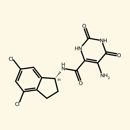 Nc1c(C(=O)N[C@@H]2CCc3c(Cl)cc(Cl)cc32)[nH]c(=O)[nH]c1=O